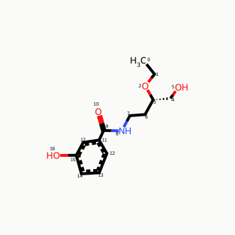 CCO[C@H](CO)CCNC(=O)c1cccc(O)c1